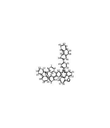 c1ccc(-c2ccccc2-n2c3ccccc3c3ccccc32)c(-c2ccc(N(c3ccc(-c4ccc5c(ccc6ccccc65)c4)cc3)c3cccc4oc5ccccc5c34)cc2)c1